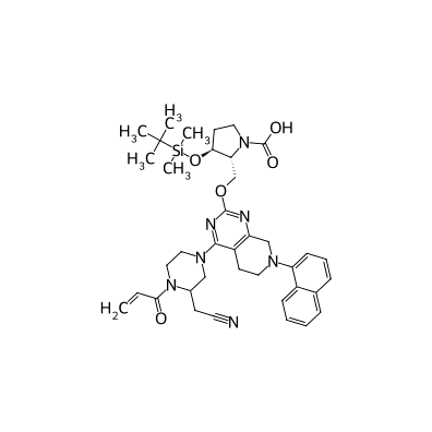 C=CC(=O)N1CCN(c2nc(OC[C@@H]3[C@@H](O[Si](C)(C)C(C)(C)C)CCN3C(=O)O)nc3c2CCN(c2cccc4ccccc24)C3)CC1CC#N